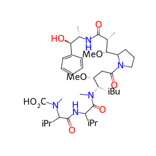 CC[C@@H](C)[C@@H]([C@@H](CC(=O)N1CCCC1[C@H](OC)[C@@H](C)C(=O)N[C@@H](C)[C@H](O)c1ccccc1)OC)N(C)C(=O)C(NC(=O)C(C(C)C)N(C)C(=O)O)C(C)C